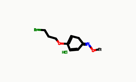 CCON=C1C=CC(OCCCBr)=CC1.Cl